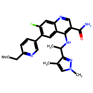 COCc1ccc(-c2cc3c(NC(C)c4nn(C)cc4C)c(C(N)=O)cnc3cc2F)cn1